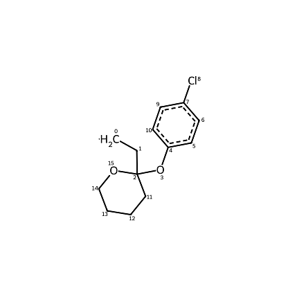 [CH2]CC1(Oc2ccc(Cl)cc2)CCCCO1